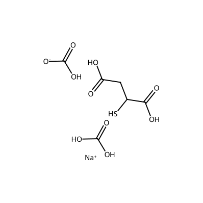 O=C(O)CC(S)C(=O)O.O=C(O)O.O=C([O-])O.[Na+]